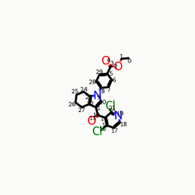 CCOC(=O)c1ccc(-n2cc(C(=O)c3c(Cl)ccnc3Cl)c3c2CCCC3)cc1